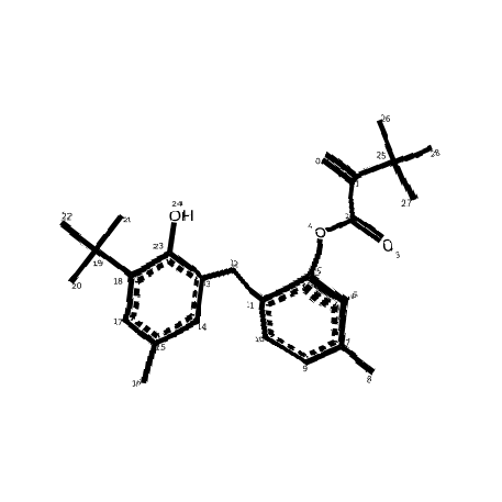 C=C(C(=O)Oc1cc(C)ccc1Cc1cc(C)cc(C(C)(C)C)c1O)C(C)(C)C